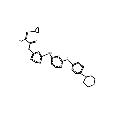 N#C/C(=C/C1CC1)C(=O)Nc1cccc(Nc2ccnc(Nc3ccc(N4CCOCC4)cc3)n2)c1